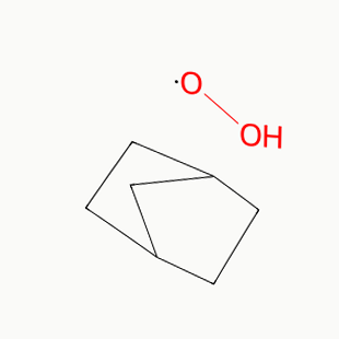 C1CC2CCC1C2.[O]O